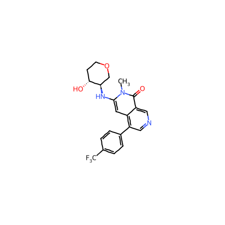 Cn1c(N[C@@H]2COCC[C@H]2O)cc2c(-c3ccc(C(F)(F)F)cc3)cncc2c1=O